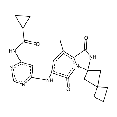 Cc1cc(Nc2cc(NC(=O)C3CC3)ncn2)c(=O)n2c1C(=O)NC21CC2(CCC2)C1